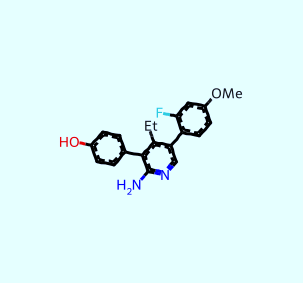 CCc1c(-c2ccc(OC)cc2F)cnc(N)c1-c1ccc(O)cc1